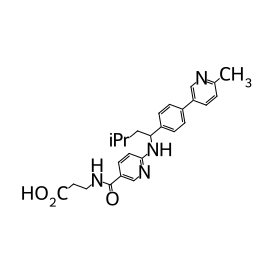 Cc1ccc(-c2ccc(C(CC(C)C)Nc3ccc(C(=O)NCCC(=O)O)cn3)cc2)cn1